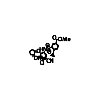 COC(=O)c1ccc(C2CC2)c(S(=O)(=O)Nc2cc(C#N)c(Cl)cc2O[C@@H]2CCC[C@H]2OC)c1